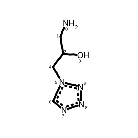 NCC(O)Cn1cnnn1